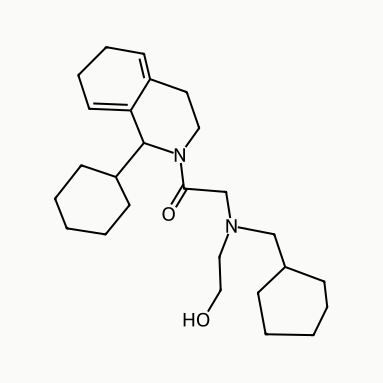 O=C(CN(CCO)CC1CCCCC1)N1CCC2=CCCC=C2C1C1CCCCC1